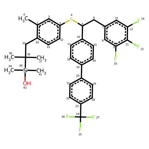 Cc1cc(SC(Cc2cc(F)c(F)c(F)c2)c2ccc(-c3ccc(C(F)(F)F)cc3)cc2)ccc1CC(C)(C)[Si](C)(C)O